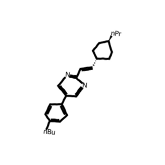 CCCCc1ccc(-c2cnc(C=C[C@H]3CC[C@H](CCC)CC3)nc2)cc1